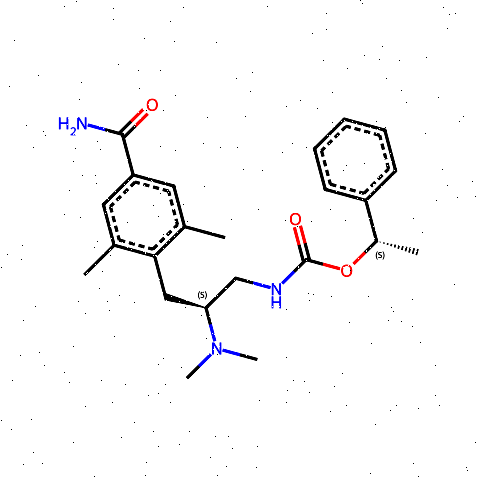 Cc1cc(C(N)=O)cc(C)c1C[C@@H](CNC(=O)O[C@@H](C)c1ccccc1)N(C)C